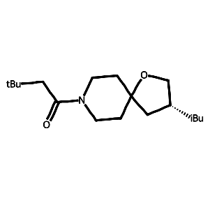 CCC(C)[C@H]1COC2(CCN(C(=O)CC(C)(C)C)CC2)C1